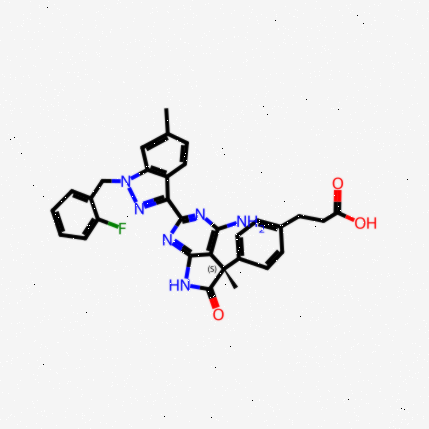 Cc1ccc2c(-c3nc(N)c4c(n3)NC(=O)[C@@]4(C)c3ccc(CCC(=O)O)cc3)nn(Cc3ccccc3F)c2c1